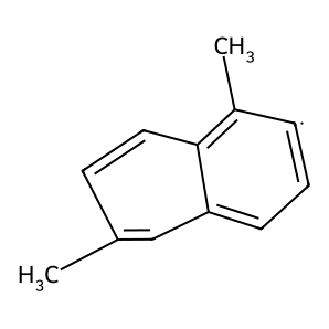 Cc1ccc2c(C)[c]ccc2c1